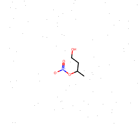 CC(CCO)O[N+](=O)[O-]